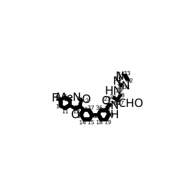 CNC(=O)c1c(-c2ccc(F)cc2)oc2ccc(-c3cccc(C(=O)NC(C)(C=O)CNc4nccnn4)c3)cc12